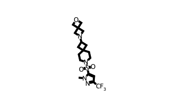 Cn1nc(C(F)(F)F)cc1S(=O)(=O)N1CCC2(CC1)CC(N1CC3(COC3)C1)C2